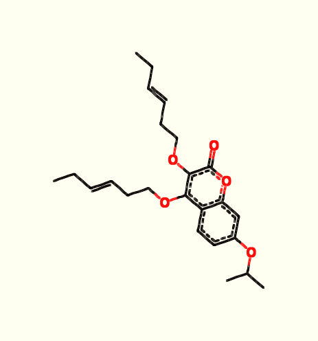 CCC=CCCOc1c(OCCC=CCC)c2ccc(OC(C)C)cc2oc1=O